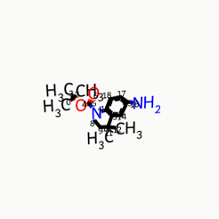 CC(C)(C)OC(=O)N1CCC(C)(C)c2cc(N)ccc21